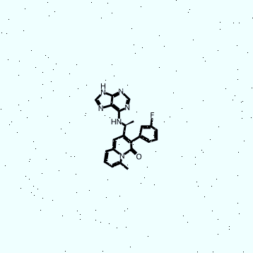 Cc1cccc2cc([C@H](C)Nc3ncnc4[nH]cnc34)c(-c3cccc(F)c3)c(=O)n12